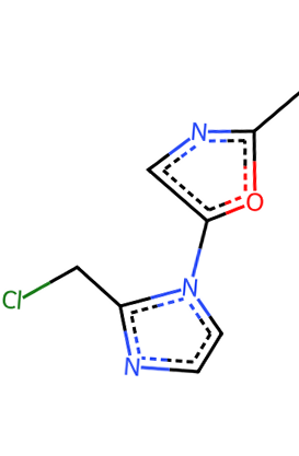 Cc1ncc(-n2ccnc2CCl)o1